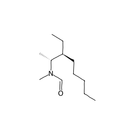 CCCCC[C@H](CC)[C@@H](C)N(C)C=O